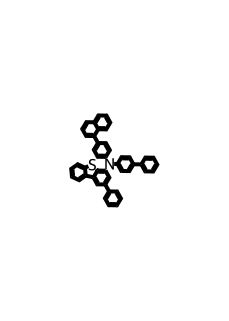 c1ccc(-c2ccc(N(c3ccc(-c4cccc5ccccc45)cc3)c3cc(-c4ccccc4)cc4c3sc3ccccc34)cc2)cc1